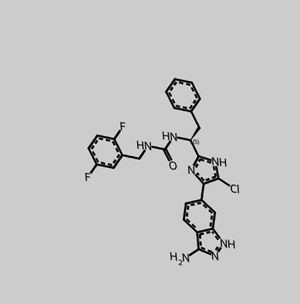 Nc1n[nH]c2cc(-c3nc([C@H](Cc4ccccc4)NC(=O)NCc4cc(F)ccc4F)[nH]c3Cl)ccc12